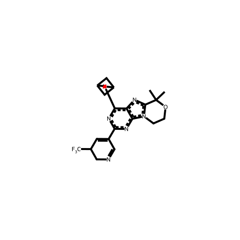 CC1(C)OCCn2c1nc1c(N3CC4CC3C4)nc(C3=CC(C(F)(F)F)CN=C3)nc12